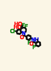 Cc1cccc(F)c1C(=O)Nc1ccc(C(=O)N2CCC(F)(F)[C@](O)(CO)c3cc(Cl)ccc32)cc1F